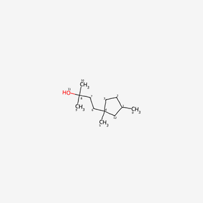 CC1CCC(C)(CCC(C)(C)O)C1